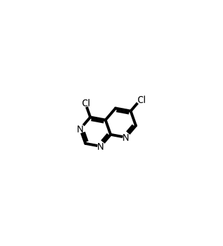 Clc1cnc2ncnc(Cl)c2c1